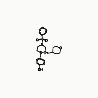 O=S(=O)(c1ccccc1)N1CCN(c2ccc(O)cc2)[C@H](CC2CCOCC2)C1